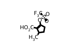 CC1CCC(OS(=O)(=O)C(F)(F)F)=C1C(=O)O